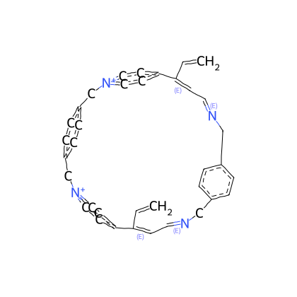 C=C/C1=C\C=N\Cc2ccc(cc2)C/N=C/C=C(\C=C)c2cc[n+](cc2)Cc2ccc(cc2)C[n+]2ccc1cc2